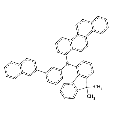 CC1(C)c2ccccc2-c2c(N(c3cccc(-c4ccc5ccccc5c4)c3)c3cccc4c3ccc3c5ccccc5ccc43)cccc21